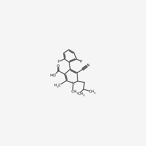 CC1=C(C(=O)O)C(c2c(F)cccc2F)=C(C#N)C(CC(C)C)N1C